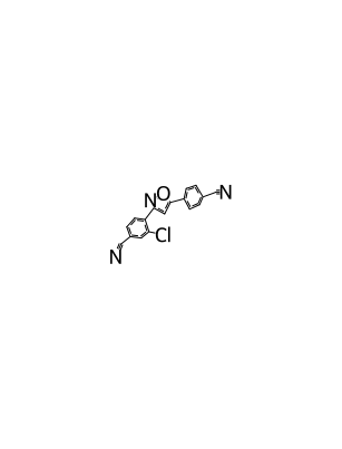 N#Cc1ccc(-c2cc(-c3ccc(C#N)cc3Cl)no2)cc1